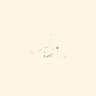 O=P(O)(O)OP(=O)(O)O.[BaH2].[Zn]